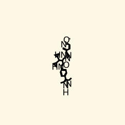 COc1ccc(-c2nnc(C(C(=O)Nc3ccc(-c4c(C)n[nH]c4C)cc3)C(C3CC3)C3CC3)[nH]2)cn1